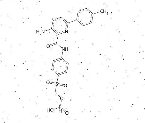 Cc1ccc(-c2cnc(N)c(C(=O)Nc3ccc(S(=O)(=O)CO[PH](=O)O)cc3)n2)cc1